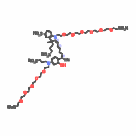 COCCOCCOCCOCCOCCOCCN(CCCS(=O)(=O)O)c1ccc(/C(=C\C/C=C/C=C2/N(CCOCCOCCOCCOCCOCCOCCC(=O)O)c3ccc(S(=O)(=O)O)cc3C2(C)CCCS(=O)(=O)O)C(C)(C)C)c(O)c1